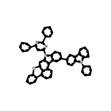 c1ccc(-c2cc(-n3c4ccc(-c5ccc6c(c5)c5ccccc5n6-c5ccccc5)cc4c4c5cccc6c5c(cc43)Oc3ccccc3-6)nc(-c3ccccc3)n2)cc1